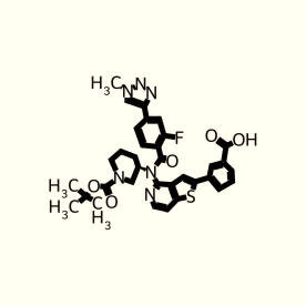 Cn1cc(-c2ccc(C(=O)N(c3nccc4sc(-c5cccc(C(=O)O)c5)cc34)[C@@H]3CCCN(C(=O)OC(C)(C)C)C3)c(F)c2)nn1